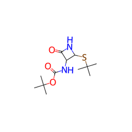 CC(C)(C)OC(=O)NC1C(=O)NC1SC(C)(C)C